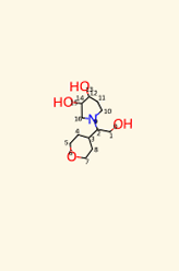 OCC(C1CCOCC1)N1CCC(O)C(O)C1